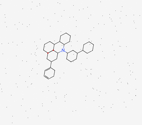 C1=CCCC(C2CCCC(N(C3CCCC(C4CCCCC4)C3)C3CCCCC3C3CCCCC3)C2)=C1